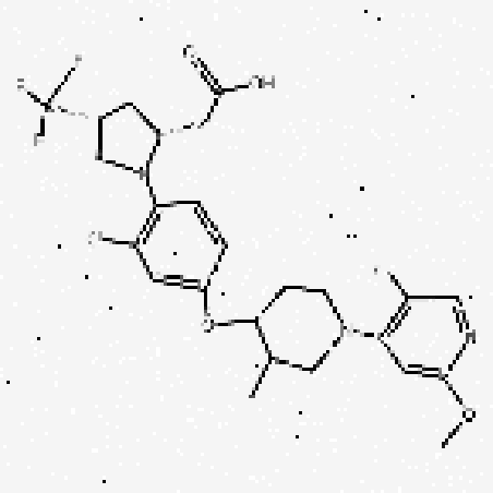 COc1cc(N2CCC(Oc3ccc(N4C[C@H](C(F)(F)F)C[C@@H]4CC(=O)O)c(Cl)c3)C(C)C2)c(Cl)cn1